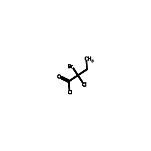 CCC(Cl)(Br)C(=O)Cl